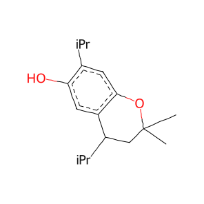 CC(C)c1cc2c(cc1O)C(C(C)C)CC(C)(C)O2